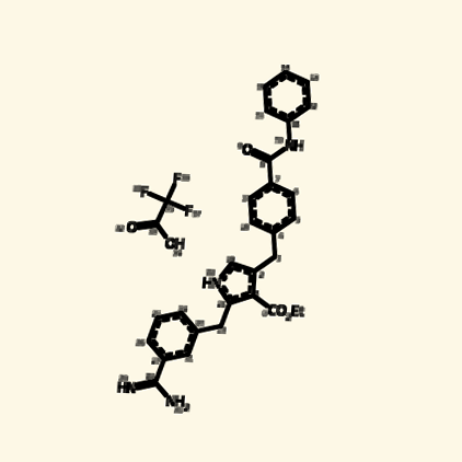 CCOC(=O)c1c(Cc2ccc(C(=O)Nc3ccccc3)cc2)c[nH]c1Cc1cccc(C(=N)N)c1.O=C(O)C(F)(F)F